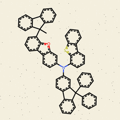 CC1(c2cccc3c2oc2cc(N(c4ccc5c(c4)C(c4ccccc4)(c4ccccc4)c4ccccc4-5)c4cccc5c4sc4ccccc45)ccc23)c2ccccc2-c2ccccc21